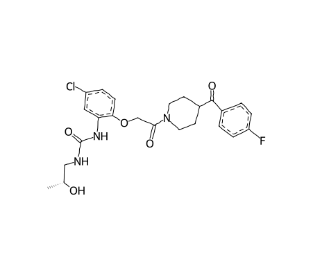 C[C@@H](O)CNC(=O)Nc1cc(Cl)ccc1OCC(=O)N1CCC(C(=O)c2ccc(F)cc2)CC1